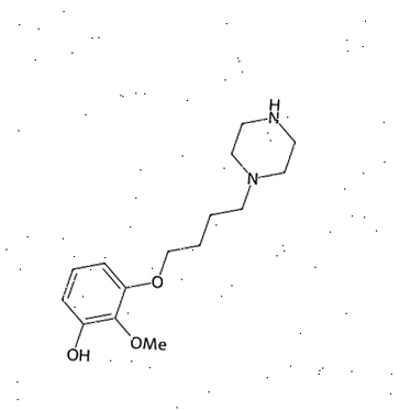 COc1c(O)cccc1OCCCCN1CCNCC1